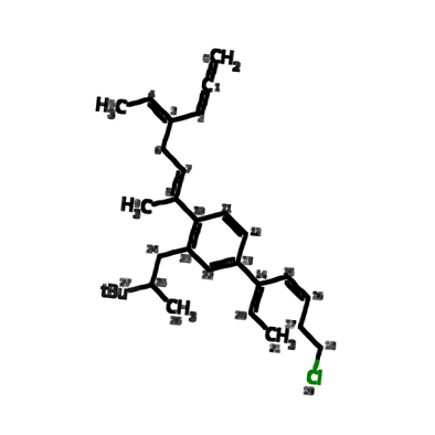 C=C=C/C(=C/C)C/C=C(\C)c1ccc(C(/C=C\CCCl)=C/C)cc1CC(C)C(C)(C)C